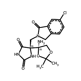 CC1(C)OC[C@](N)([C@]2(CN3Cc4ccc(Cl)cc4C3=O)NC(=O)NC2=O)O1